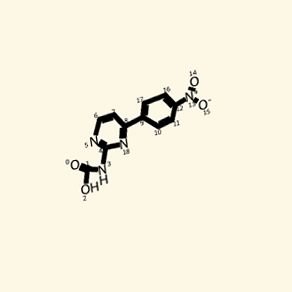 O=C(O)Nc1nccc(-c2ccc([N+](=O)[O-])cc2)n1